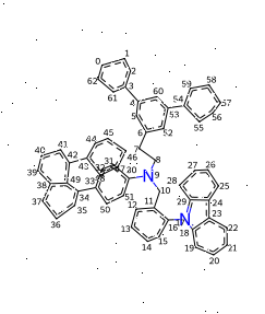 c1ccc(-c2cc(CCN(Cc3ccccc3-n3c4ccccc4c4ccccc43)c3ccc(-c4cccc5cccc(-c6ccccc6)c45)cc3)cc(-c3ccccc3)c2)cc1